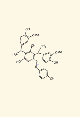 COc1cc(C(C)c2c(O)cc(/C=C/c3ccc(O)cc3)c(C(C)c3ccc(O)c(OC)c3)c2O)ccc1O